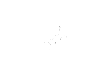 N#CC(=Cc1ccc(F)c(Cl)c1)C(=O)O